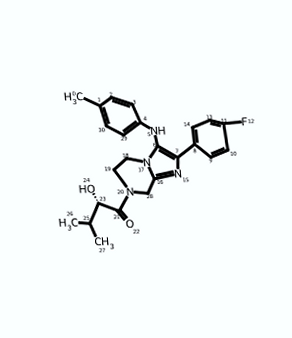 Cc1ccc(Nc2c(-c3ccc(F)cc3)nc3n2CCN(C(=O)[C@@H](O)C(C)C)C3)cc1